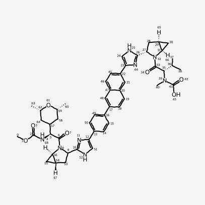 COC(=O)N[C@H](C(=O)N1C(c2nc(-c3ccc(-c4ccc5cc(-c6c[nH]c([C@@H]7C[C@H]8C[C@H]8N7C(=O)[C@H](C(C)C)N(C)C(=O)O)n6)ccc5c4)cc3)c[nH]2)C[C@@H]2C[C@H]21)C1C[C@@H](C)O[C@@H](C)C1